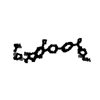 O=C(c1ccc(-c2ccc(-c3nc4nc(O[C@@H]5CO[C@H](CO)C5)[nH]c4cc3Cl)cc2)cc1)N1CC[C@@H](O)C1